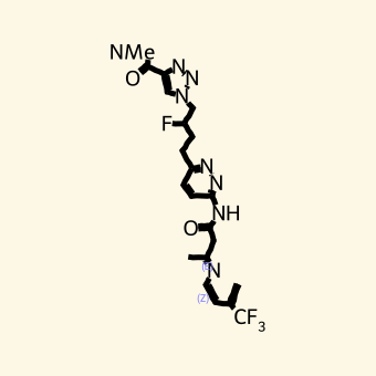 C=C(/C=C\N=C(/C)CC(=O)Nc1ccc(CCC(F)Cn2cc(C(=O)NC)nn2)nn1)C(F)(F)F